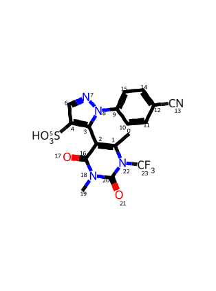 Cc1c(-c2c(S(=O)(=O)O)cnn2-c2ccc(C#N)cc2)c(=O)n(C)c(=O)n1C(F)(F)F